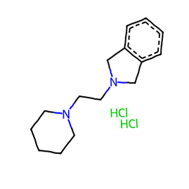 Cl.Cl.c1ccc2c(c1)CN(CCN1CCCCC1)C2